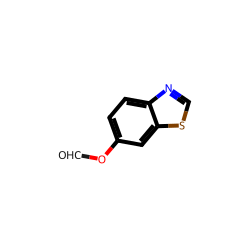 O=COc1ccc2ncsc2c1